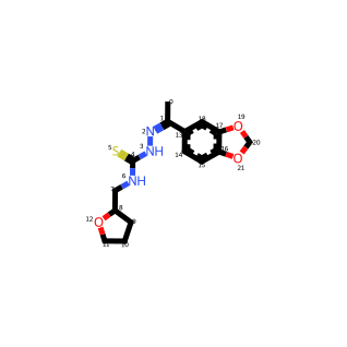 C/C(=N/NC(=S)NCC1CCCO1)c1ccc2c(c1)OCO2